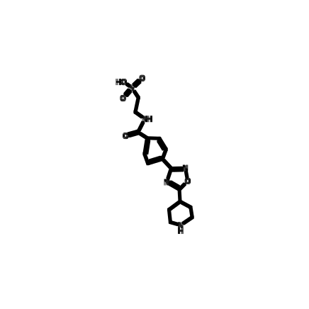 O=C(NCCS(=O)(=O)O)c1ccc(-c2noc(C3CCNCC3)n2)cc1